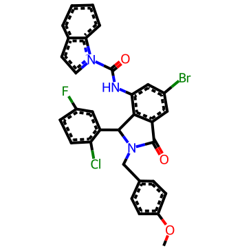 COc1ccc(CN2C(=O)c3cc(Br)cc(NC(=O)n4ccc5ccccc54)c3C2c2cc(F)ccc2Cl)cc1